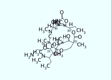 CCC(C(O)[C@@H](OCCN)O[C@@H]1[C@@H](C)C(=O)[C@]2(C)CCO[C@@]1(C)C[C@@H](C)CN(C)[C@H](C)[C@H]1NC(=O)O[C@]1(C)[C@@H](CC)OC2=O)N(C)C